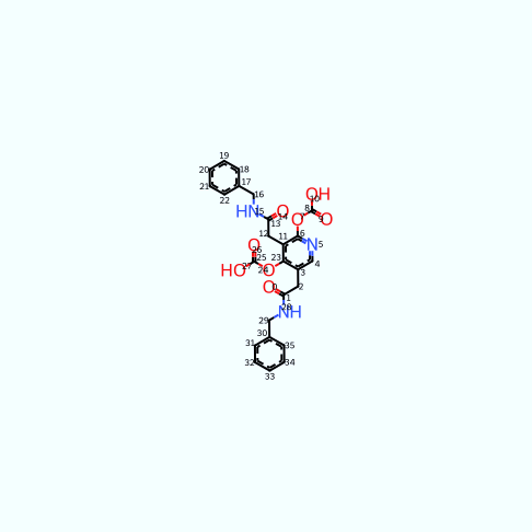 O=C(Cc1cnc(OC(=O)O)c(CC(=O)NCc2ccccc2)c1OC(=O)O)NCc1ccccc1